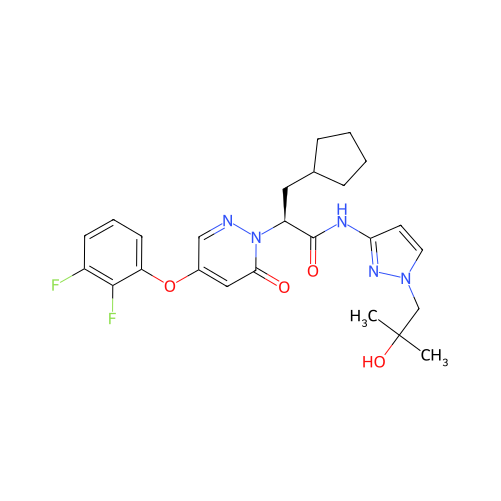 CC(C)(O)Cn1ccc(NC(=O)[C@H](CC2CCCC2)n2ncc(Oc3cccc(F)c3F)cc2=O)n1